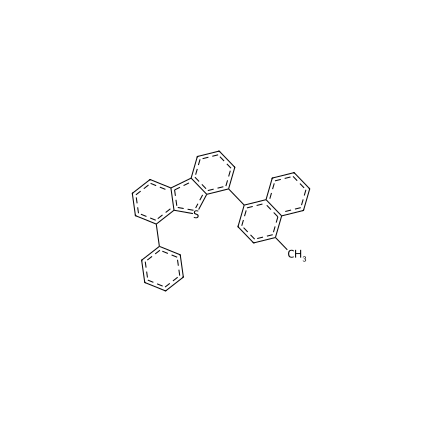 Cc1ccc(-c2cccc3c2sc2c(-c4ccccc4)cccc23)c2ccccc12